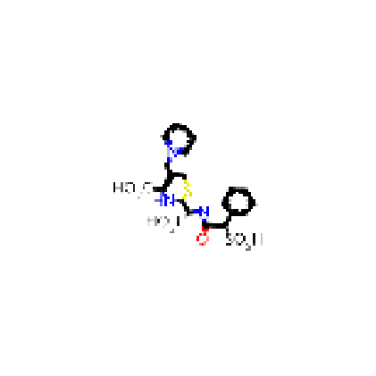 O=C(O)C1=C(C[n+]2ccccc2)CS[C@H]([C@H](NC(=O)[C@@H](c2ccccc2)S(=O)(=O)O)C(=O)O)N1